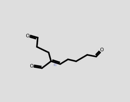 O=CCCC/C=C(/C=O)CCC=O